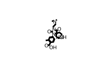 Cc1cc(N2C(=O)N(CCN(C)C)C(=O)C23CCNCC3)ccc1C(=O)O.Cl